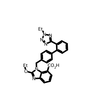 CCOc1nc2cccc(C(=O)O)c2n1Cc1ccc(-c2ccccc2-c2nnn(CC)n2)cc1